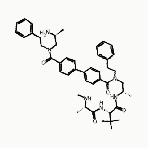 CN[C@@H](C)C(=O)N[C@H](C(=O)N[C@@H](C)CN(CCc1ccccc1)C(=O)c1ccc(-c2ccc(C(=O)N(CCc3ccccc3)C[C@H](C)N)cc2)cc1)C(C)(C)C